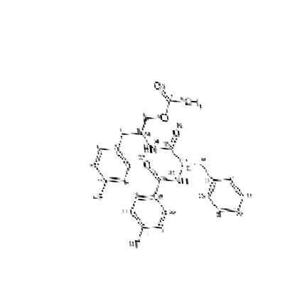 CC(=O)OC[C@H](Cc1ccc(F)cc1)NC(=O)[C@H](Cc1ccccc1)NC(=O)c1ccc(F)cc1